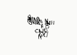 C[C@@H](Oc1ccc2[nH]nc(-c3cnc(N4CCN(S(C)(=O)=O)CC4)cc3F)c2c1)c1c(Cl)cncc1Cl